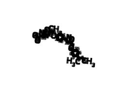 CCC(C)c1ccc(OCc2cc(-c3ccc(OC[C@@]4(C)Cn5cc([N+](=O)[O-])nc5O4)cc3)no2)cc1